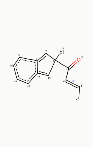 C/C=C/C(=O)C1(CC)C=c2ccccc2=C1